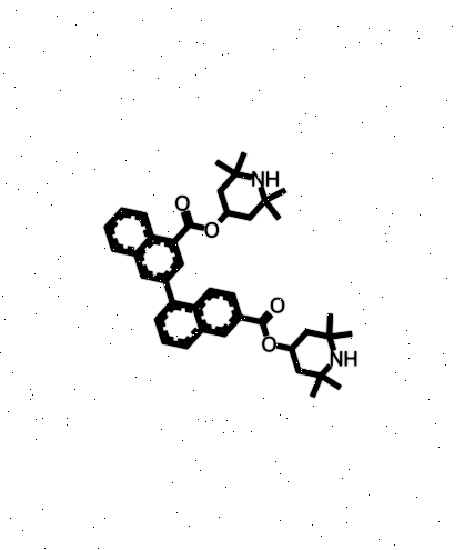 CC1(C)CC(OC(=O)c2ccc3c(-c4cc(C(=O)OC5CC(C)(C)NC(C)(C)C5)c5ccccc5c4)cccc3c2)CC(C)(C)N1